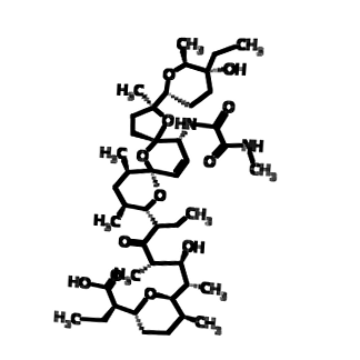 CCC(C(=O)[C@@H](C)[C@@H](O)[C@H](C)[C@@H]1O[C@@H]([C@@H](CC)C(=O)O)CC[C@@H]1C)[C@H]1O[C@]2(C=C[C@@H](NC(=O)C(=O)NC)[C@]3(CC[C@@](C)([C@H]4CC[C@](O)(CC)[C@H](C)O4)O3)O2)[C@H](C)C[C@@H]1C